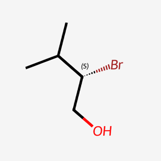 CC(C)[C@H](Br)CO